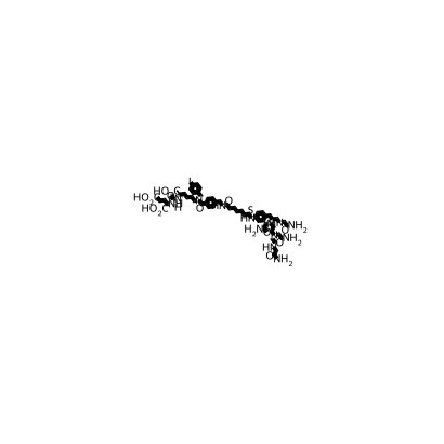 NC(=O)CNCCN(CCN(CC(N)=O)C(CNCC(N)=O)Cc1ccc(NC(=S)CCCCCC(=O)NCc2ccc(C(=O)N(CCCC[C@@H](NC(=O)N[C@H](CCC(=O)O)C(=O)O)C(=O)O)Cc3ccc(I)cc3)cc2)cc1)CC(N)=O